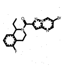 CCC1c2cccc(F)c2CCN1C(=O)c1cc2ncc(Br)cn2n1